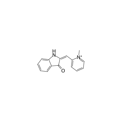 C[n+]1ccccc1/C=C1/Nc2ccccc2C1=O